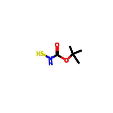 CC(C)(C)OC(=O)NS